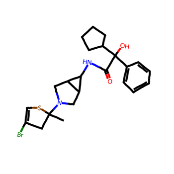 CC1(N2CC3C(C2)C3NC(=O)C(O)(c2ccccc2)C2CCCC2)CC(Br)=CS1